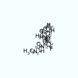 CCN1CCC(C(=O)NCc2cc(F)ccc2S(=O)(=O)Nc2ccc3c(c2C(=O)O)OC[C@@H]2C[C@H]32)C1